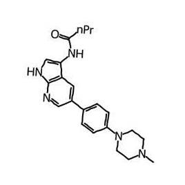 CCCC(=O)Nc1c[nH]c2ncc(-c3ccc(N4CCN(C)CC4)cc3)cc12